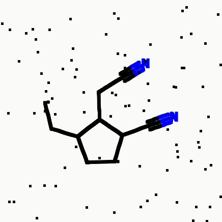 [CH2]CC1C[CH]C(C#N)C1CC#N